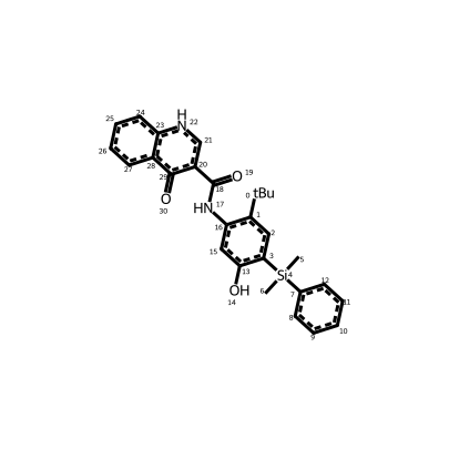 CC(C)(C)c1cc([Si](C)(C)c2ccccc2)c(O)cc1NC(=O)c1c[nH]c2ccccc2c1=O